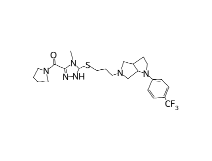 CN1C(C(=O)N2CCCC2)=NNC1SCCCN1CC2CCN(c3ccc(C(F)(F)F)cc3)C2C1